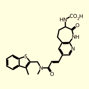 Cc1c(CN(C)C(=O)C=Cc2cnc3c(c2)CCC(NC(=O)O)C(=O)N3)sc2ccccc12